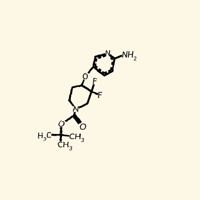 CC(C)(C)OC(=O)N1CCC(Oc2ccc(N)nc2)C(F)(F)C1